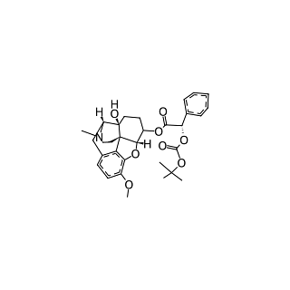 COc1ccc2c3c1O[C@H]1C(OC(=O)[C@@H](OC(=O)OC(C)(C)C)c4ccccc4)CC[C@@]4(O)[C@@H](C2)N(C)CC[C@]314